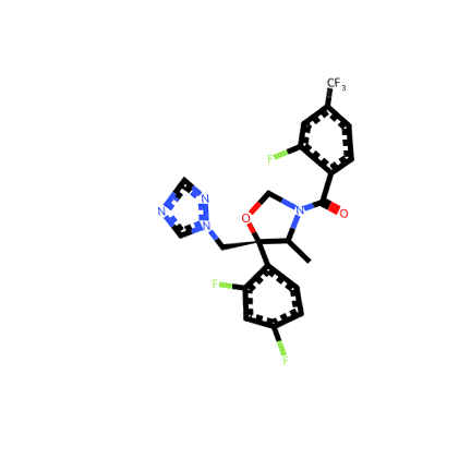 CC1N(C(=O)c2ccc(C(F)(F)F)cc2F)CO[C@@]1(Cn1cncn1)c1ccc(F)cc1F